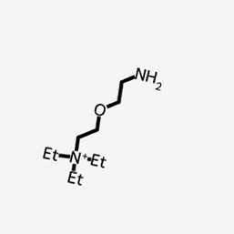 CC[N+](CC)(CC)CCOCCN